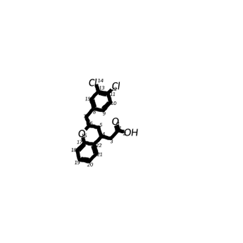 O=C(O)CC1CC(Cc2ccc(Cl)c(Cl)c2)Oc2ccccc21